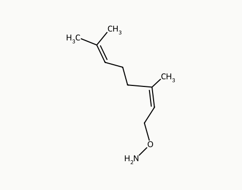 CC(C)=CCC/C(C)=C\CON